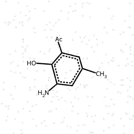 CC(=O)c1cc(C)cc(N)c1O